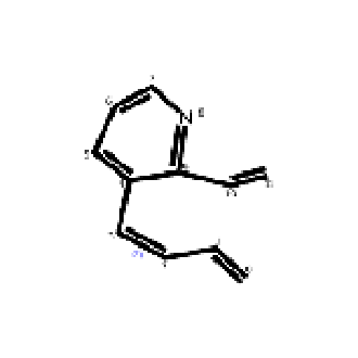 C=C/C=C\c1cccnc1C=C